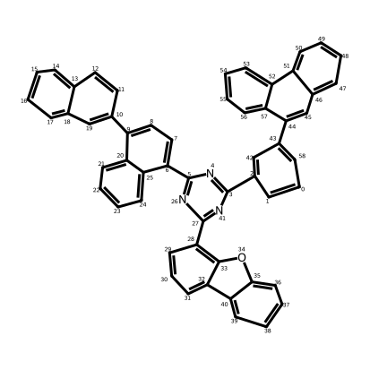 c1cc(-c2nc(-c3ccc(-c4ccc5ccccc5c4)c4ccccc34)nc(-c3cccc4c3oc3ccccc34)n2)cc(-c2cc3ccccc3c3ccccc23)c1